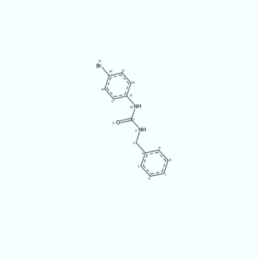 O=C(NCc1ccccc1)Nc1ccc(Br)cc1